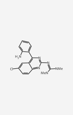 CNC(=Nc1nc(-c2ccccc2N)c2cc(Cl)ccc2n1)NC